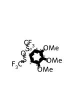 COc1cccc(OC)c1OC.FC(F)(F)SOSC(F)(F)F